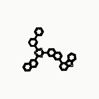 C1=C(c2ccccc2)C=C(c2nc(-c3ccc4ccccc4c3)nc(-c3ccc4ccc(-c5cccc6oc7ccccc7c56)cc4c3)n2)CC1